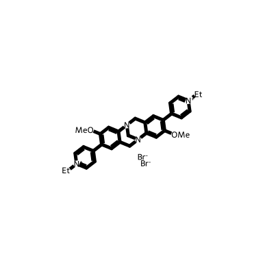 CC[n+]1ccc(-c2cc3c(cc2OC)N2Cc4cc(-c5cc[n+](CC)cc5)c(OC)cc4N(C3)C2)cc1.[Br-].[Br-]